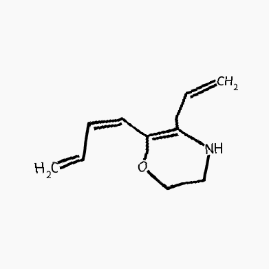 C=C/C=C\C1=C(C=C)NCCO1